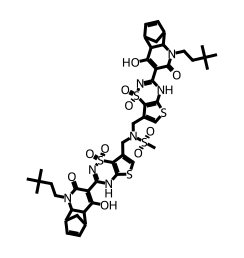 CC(C)(C)CCN1C(=O)C(C2=NS(=O)(=O)c3c(CN(Cc4csc5c4S(=O)(=O)N=C(C4=C(O)C6C7C=CC(C7)C6N(CCC(C)(C)C)C4=O)N5)S(C)(=O)=O)csc3N2)=C(O)C2C3C=CC(C3)C21